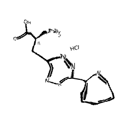 Cl.N[C@@H](Cc1nnc(-c2ccccn2)nn1)C(=O)O